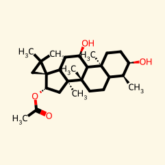 CC(=O)O[C@H]1C[C@@]2(C)C(C[C@@H](O)C3[C@@]4(C)CC[C@@H](O)[C@@H](C)C4CC[C@@]32C)[C@]12CC2(C)C